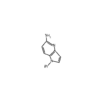 CC(C)n1ccc2nc(N)ccc21